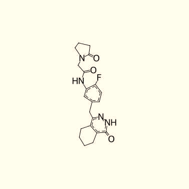 O=C(CN1CCCC1=O)Nc1cc(Cc2n[nH]c(=O)c3c2CCCC3)ccc1F